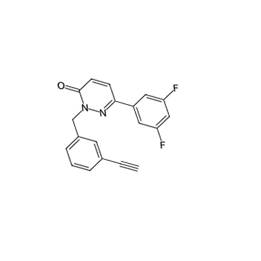 C#Cc1cccc(Cn2nc(-c3cc(F)cc(F)c3)ccc2=O)c1